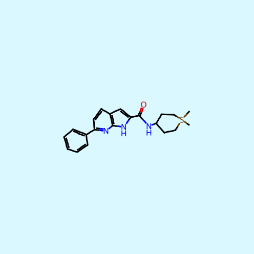 CS1(C)CCC(NC(=O)c2cc3ccc(-c4ccccc4)nc3[nH]2)CC1